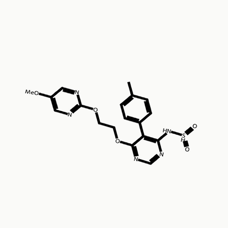 COc1cnc(OCCOc2ncnc(N[SH](=O)=O)c2-c2ccc(C)cc2)nc1